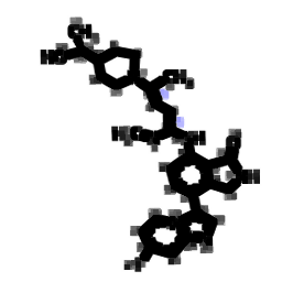 C=N/C(=C\C=C(/C)N1CCC([C@H](C)O)CC1)Nc1ccc(-c2cnc3cc(F)ccn23)c2c1C(=O)NC2